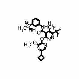 COc1nc(C2CCC2)cnc1Oc1nnc(C(F)(F)F)c(C)c1C(=O)Nc1cccc(S(C)(=N)=O)c1